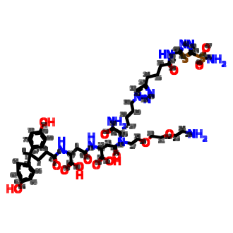 CC(CCC(=O)N[C@@H](CC(=O)N[C@@H](CC(=O)N(CCOCCOCCN)[C@@H](CCCCn1cc(CCCC(=O)Nc2nnc(S(N)(=O)=O)s2)nn1)C(N)=O)C(=O)O)C(=O)O)(c1ccc(O)cc1)c1ccc(O)cc1